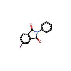 O=C1c2ccc(I)cc2C(=O)N1c1ccccc1